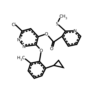 CSc1ncccc1C(=O)Oc1cc(Cl)nnc1Oc1c(C)cccc1C1CC1